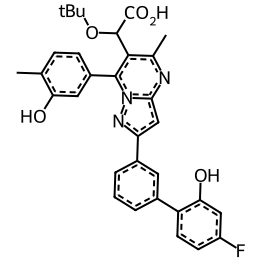 Cc1ccc(-c2c(C(OC(C)(C)C)C(=O)O)c(C)nc3cc(-c4cccc(-c5ccc(F)cc5O)c4)nn23)cc1O